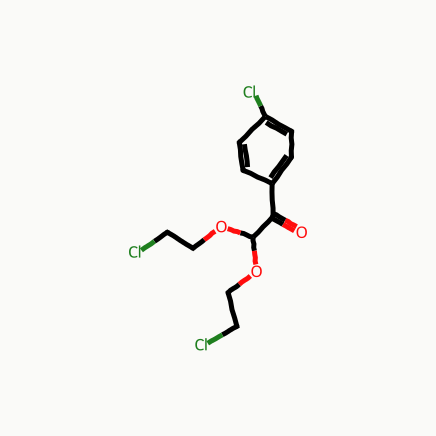 O=C(c1ccc(Cl)cc1)C(OCCCl)OCCCl